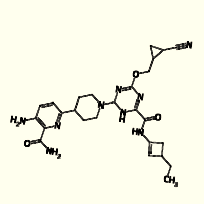 CCC1C=C(NC(=O)C2=NC(OCC3CC3C#N)=NC(N3CCC(c4ccc(N)c(C(N)=O)n4)CC3)N2)C1